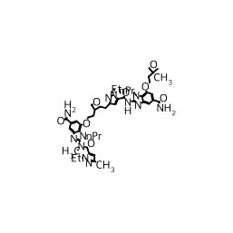 CCCn1c(NC(=O)c2cc(CC3OCC3CCOc3cc(C(N)=O)cc4nc(N(C)C(=O)c5cc(C)nn5CC)n(CCC)c34)nn2CC)nc2cc(C(N)=O)cc(OCCC3(C)COC3)c21